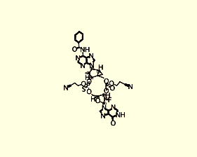 C[C@H]1[C@H](n2cnc3c(NC(=O)c4ccccc4)ncnc32)[C@H]2CC23COP(=O)(OCCC#N)O[C@H]2[C@@H](F)[C@H](n4cnc5c(=O)[nH]cnc54)O[C@@H]2COP(=S)(OCCC#N)O[C@@H]13